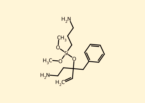 C=CC(CCN)(Cc1ccccc1)O[Si](CCCN)(OC)OC